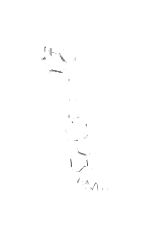 COc1ccc(C2CCN(CCCCc3ccncc3)CCS2)cc1